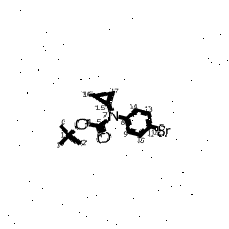 CC(C)(C)OC(=O)N(c1ccc(Br)cc1)C1CC1